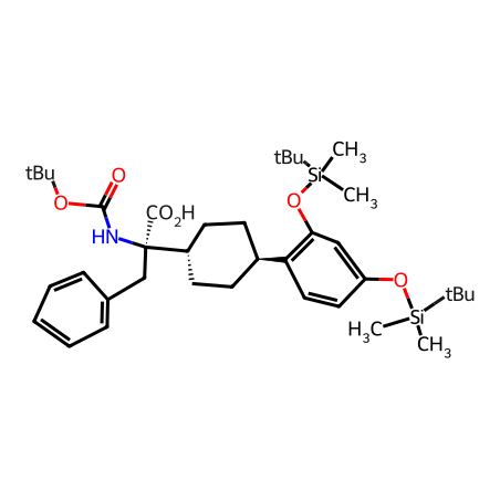 CC(C)(C)OC(=O)N[C@@](Cc1ccccc1)(C(=O)O)[C@H]1CC[C@H](c2ccc(O[Si](C)(C)C(C)(C)C)cc2O[Si](C)(C)C(C)(C)C)CC1